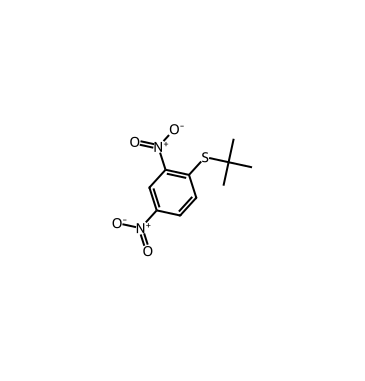 CC(C)(C)Sc1ccc([N+](=O)[O-])cc1[N+](=O)[O-]